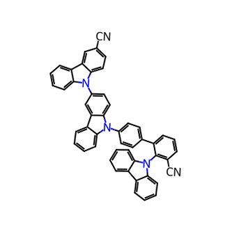 N#Cc1ccc2c(c1)c1ccccc1n2-c1ccc2c(c1)c1ccccc1n2-c1ccc(-c2cccc(C#N)c2-n2c3ccccc3c3ccccc32)cc1